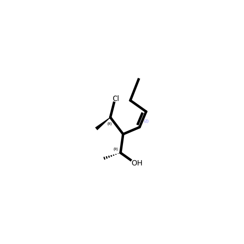 CC/C=C\C([C@@H](C)O)[C@@H](C)Cl